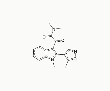 Cc1oncc1-c1c(C(=O)C(=O)N(C)C)c2ccccc2n1C